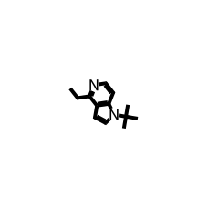 CCc1nccc2c1ccn2C(C)(C)C